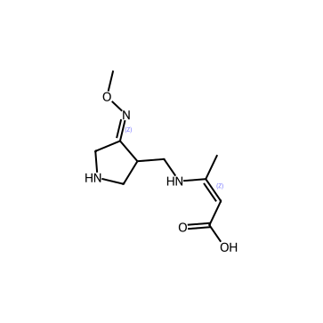 CO/N=C1\CNCC1CN/C(C)=C\C(=O)O